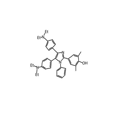 CCN(CC)c1ccc(-c2nc(-c3cc(C)c(O)c(C)c3)n(-c3ccccc3)c2-c2ccc(N(CC)CC)cc2)cc1